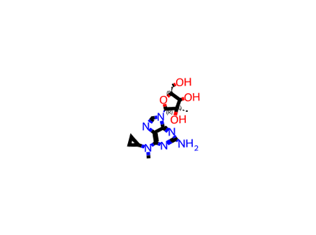 CN(c1nc(N)nc2c1ncn2[C@@H]1O[C@H](CO)C(O)[C@@]1(C)O)C1CC1